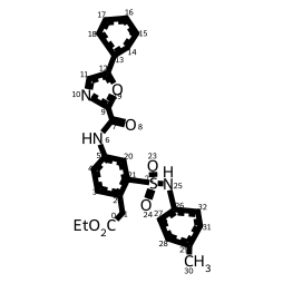 CCOC(=O)Cc1ccc(NC(=O)c2ncc(-c3ccccc3)o2)cc1S(=O)(=O)Nc1ccc(C)cc1